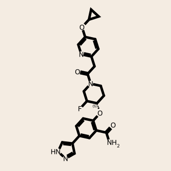 NC(=O)c1cc(-c2cn[nH]c2)ccc1O[C@H]1CCN(C(=O)Cc2ccc(OC3CC3)cn2)CC1F